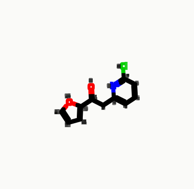 O=C(Cc1cccc(Cl)n1)c1ccco1